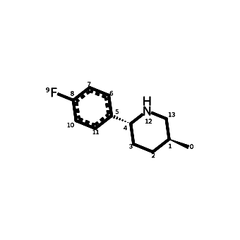 C[C@H]1CC[C@H](c2ccc(F)cc2)NC1